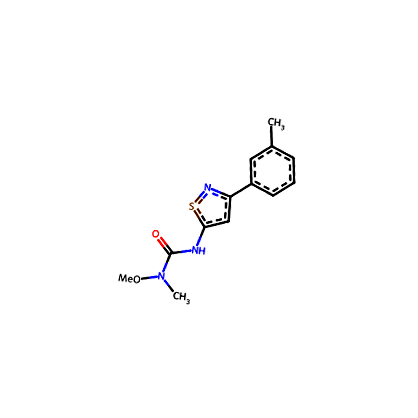 CON(C)C(=O)Nc1cc(-c2cccc(C)c2)ns1